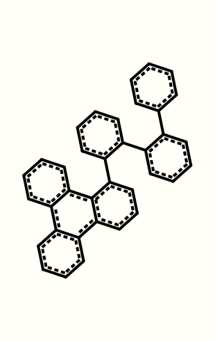 c1ccc(-c2ccccc2-c2ccccc2-c2cccc3c4ccccc4c4ccccc4c23)cc1